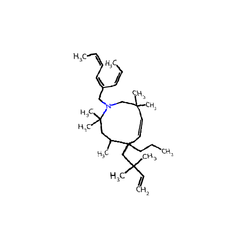 C=CC(C)(C)CC1(CCC)/C=C\C(C)(C)CN(CC(/C=C\C)=C/C=C\C)C(C)(C)CC1C